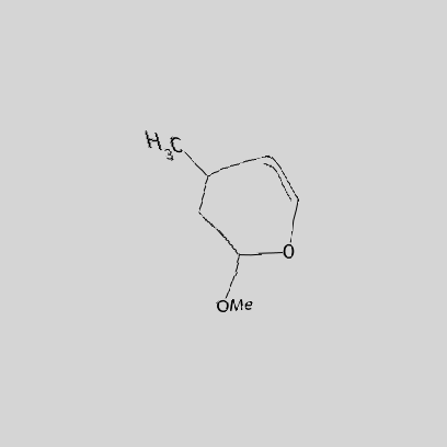 COC1CC(C)C=CO1